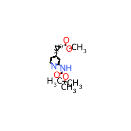 COC(=O)[C@H]1C[C@@H]1c1ccnc(NC(=O)OC(C)(C)C)c1